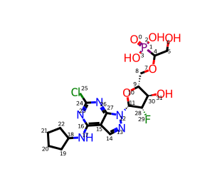 O=P(O)(O)C(CO)OC[C@H]1O[C@@H](n2ncc3c(NC4CCCC4)nc(Cl)nc32)[C@@H](F)[C@@H]1O